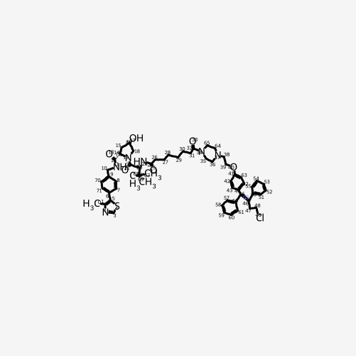 Cc1ncsc1-c1ccc(CNC(=O)[C@@H]2C[C@@H](O)CN2C(=O)[C@@H](NC(=O)CCCCCCC(=O)N2CCN(CCOc3ccc(/C(=C(/CCCl)c4ccccc4)c4ccccc4)cc3)CC2)C(C)(C)C)cc1